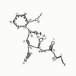 CCOC(=O)NC(=O)/C(C#N)=C\N(N)c1ccccc1OC